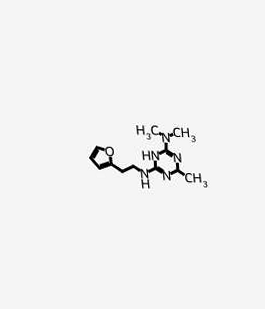 CC1N=C(NCCc2ccco2)NC(N(C)C)=N1